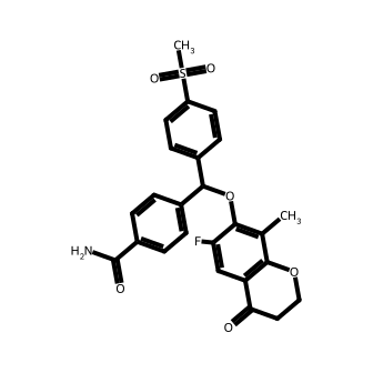 Cc1c(OC(c2ccc(C(N)=O)cc2)c2ccc(S(C)(=O)=O)cc2)c(F)cc2c1OCCC2=O